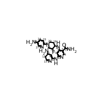 NC(=O)c1cnc(NC2=CC(N)CC=N2)cc1N[C@@H]1CCN(c2ccc(N)cn2)C[C@@H]1F